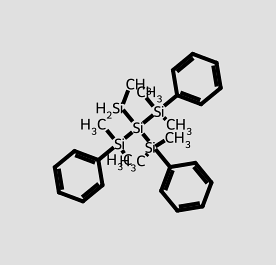 C[SiH2][Si]([Si](C)(C)c1ccccc1)([Si](C)(C)c1ccccc1)[Si](C)(C)c1ccccc1